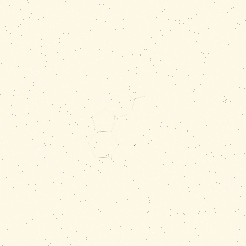 O=C(ON1C=CN2CCNCC21)C(F)(F)F